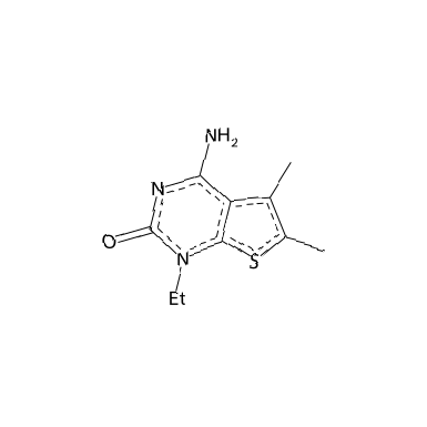 CCn1c(=O)nc(N)c2c(C)c(C)sc21